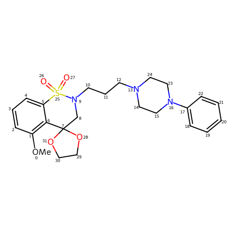 COc1cccc2c1C1(CN(CCCN3CCN(c4ccccc4)CC3)S2(=O)=O)OCCO1